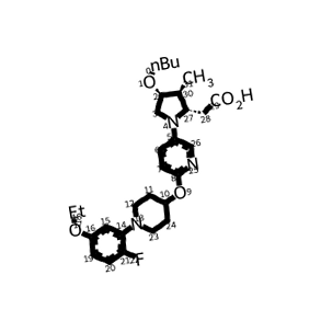 CCCCO[C@H]1CN(c2ccc(OC3CCN(c4cc(OCC)ccc4F)CC3)nc2)[C@@H](CC(=O)O)[C@@H]1C